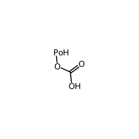 O=C(O)[O][PoH]